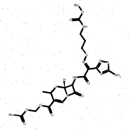 CC1S[C@@H]2C(NC(=O)C(=NOCCCNC(=O)OC(C)(C)C)c3nsc(N)n3)C(=O)N2C=C1C(=O)OCOC(=O)C(C)(C)C